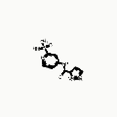 CS(=N)(=O)c1cc(NC(=O)c2ccn[nH]2)ccn1